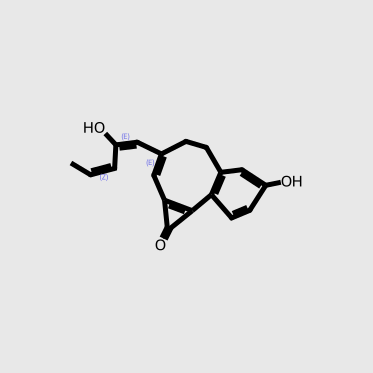 C\C=C/C(O)=C\C1=C\c2c(c2=O)-c2ccc(O)cc2CC1